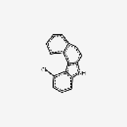 Clc1cccc2[nH]c3ccc4ccccc4c3c12